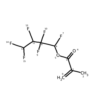 C=C(C)C(=O)OC(F)C(F)(F)C(F)C(F)F